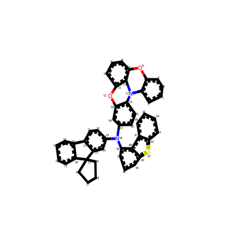 c1ccc2c(c1)Oc1cccc3c1N2c1ccc(N(c2ccc4c(c2)C2(CCCC2)c2ccccc2-4)c2cccc4sc5ccccc5c24)cc1O3